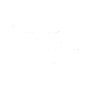 COC(=O)C(Cl)c1ccc(OC)c(OC)c1